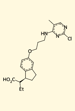 CCC(C(=O)O)[C@@H]1CCc2cc(OCCCNc3nc(Cl)ncc3C)ccc21